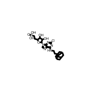 O=P(O)(O)CCC1OC(n2cnc3c(NCCC45CC6CC(CC(C6)C4)C5)nc(Cl)nc32)C(O)C1O